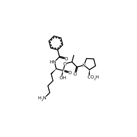 CC(OP(=O)(O)[C@@H](CCCCN)NC(=O)c1ccccc1)C(=O)N1CCC[C@H]1C(=O)O